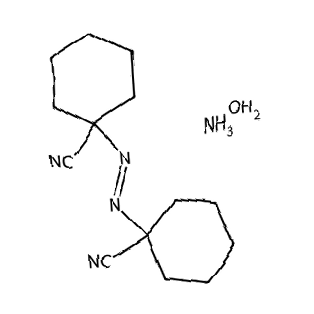 N.N#CC1(N=NC2(C#N)CCCCC2)CCCCC1.O